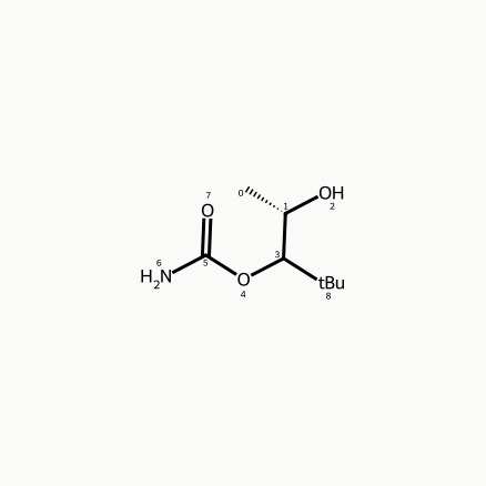 C[C@H](O)C(OC(N)=O)C(C)(C)C